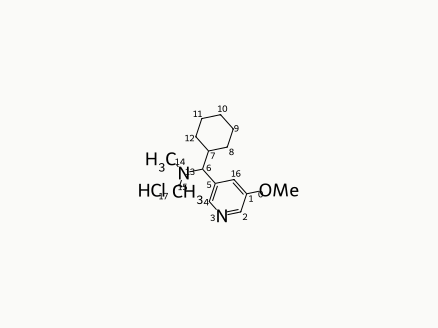 COc1cncc(C(C2CCCCC2)N(C)C)c1.Cl